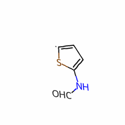 O=CNc1cc[c]s1